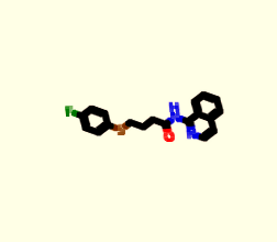 O=C(CCCSc1ccc(F)cc1)Nc1nccc2ccccc12